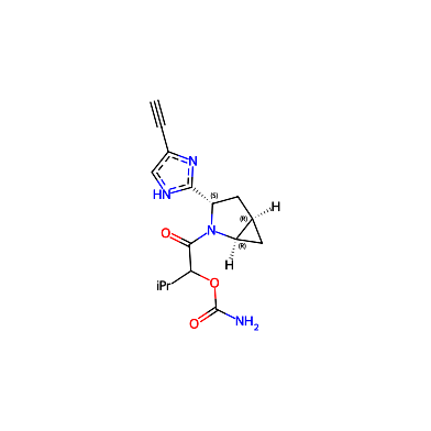 C#Cc1c[nH]c([C@@H]2C[C@H]3C[C@H]3N2C(=O)C(OC(N)=O)C(C)C)n1